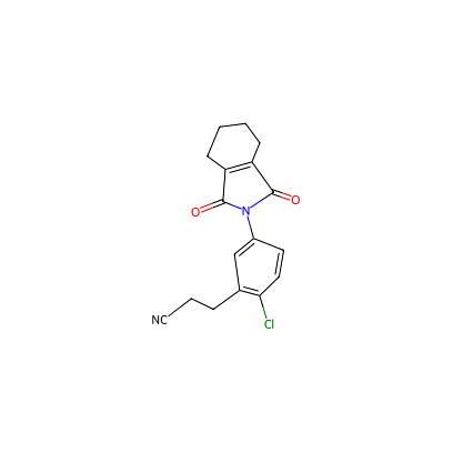 N#CCCc1cc(N2C(=O)C3=C(CCCC3)C2=O)ccc1Cl